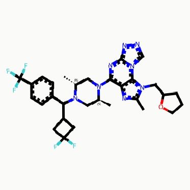 Cc1nc2c(N3C[C@@H](C)N(C(c4ccc(C(F)(F)F)cc4)C4CC(F)(F)C4)C[C@@H]3C)nc3nncn3c2n1CC1CCCO1